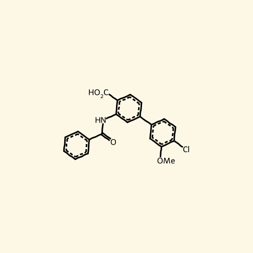 COc1cc(-c2ccc(C(=O)O)c(NC(=O)c3ccccc3)c2)ccc1Cl